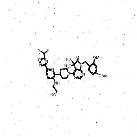 COc1ccc(CN2C(=O)C(C)(C)c3c(N4CCC(c5nc(-c6noc(C(F)F)n6)ccc5NCCO)CC4)ncnc32)c(OC)c1